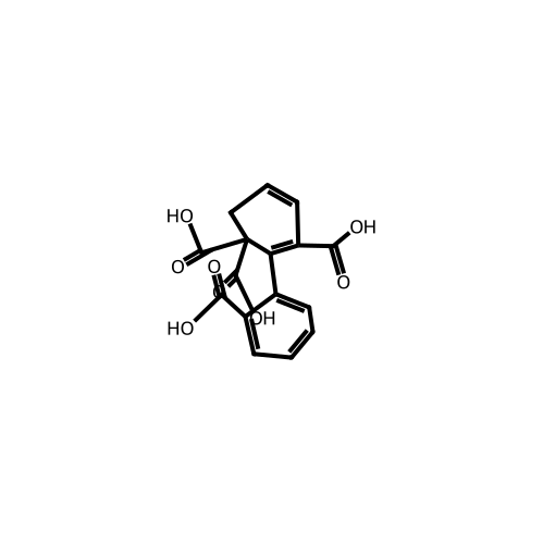 O=C(O)C1=C(c2ccccc2C(=O)O)C(C(=O)O)(C(=O)O)CC=C1